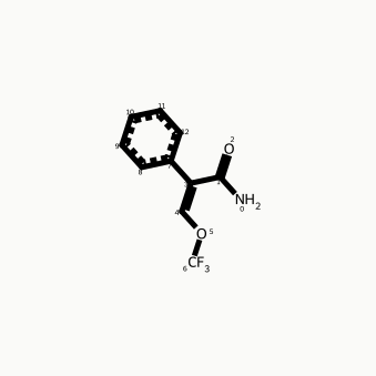 NC(=O)C(=COC(F)(F)F)c1ccccc1